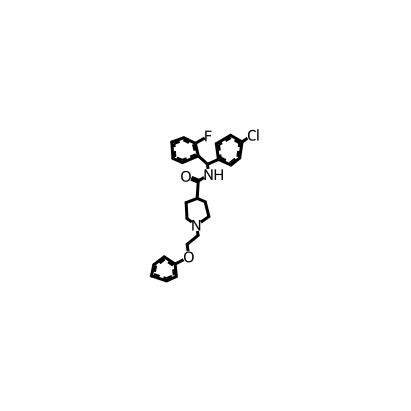 O=C(NC(c1ccc(Cl)cc1)c1ccccc1F)C1CCN(CCOc2ccccc2)CC1